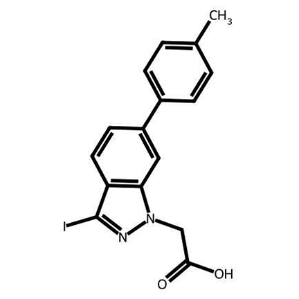 Cc1ccc(-c2ccc3c(I)nn(CC(=O)O)c3c2)cc1